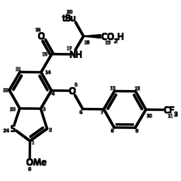 COC1=CC2C(OCc3ccc(C(F)(F)F)cc3)=C(C(=O)N[C@H](C(=O)O)C(C)(C)C)C=CC2S1